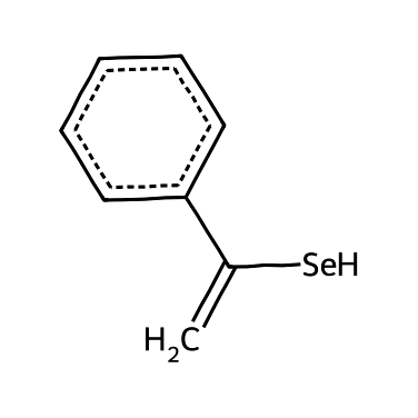 C=C([SeH])c1ccccc1